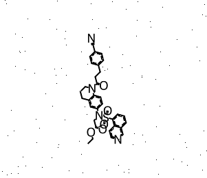 CCOC(=O)CN(c1ccc2c(c1)CCCN2C(=O)CCc1ccc(C#N)cc1)S(=O)(=O)c1cccc2cnccc12